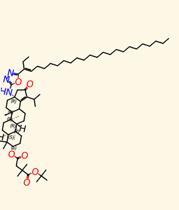 CCCCCCCCCCCCCCCCCCCCCC=C(CC)c1nnc(N[C@@]23CC[C@]4(C)C(CC[C@@H]5[C@@]6(C)CC[C@H](OC(=O)CC(C)(C)C(=O)OC(C)(C)C)C(C)(C)[C@H]6CC[C@]54C)C2=C(C(C)C)C(=O)C3)o1